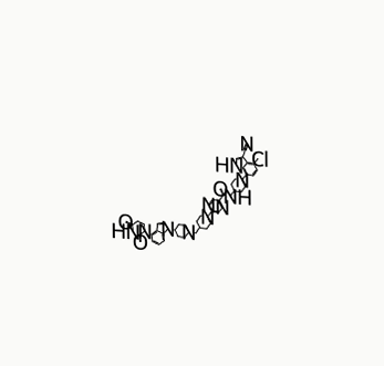 N#Cc1c[nH]c2c(N3CCC(NC(=O)c4cnc(N5CCC(CN6CCC(n7ccc8c(N9CCC(=O)NC9=O)cccc87)CC6)CC5)cn4)CC3)ccc(Cl)c12